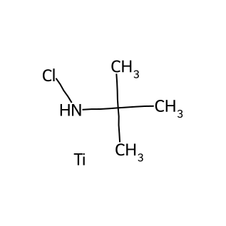 CC(C)(C)NCl.[Ti]